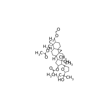 CC(=O)O[C@H]1C[C@@]2(C)[C@@H]3C[C@H](OC(C)=O)[C@H]4C(C)(C)[C@@H](COC=O)CCC45C[C@@]35CC[C@]2(C)[C@H]1[C@@]1(C)CC[C@@H](C(C)(C)O)O1